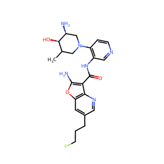 CC1CN(c2ccncc2NC(=O)c2c(N)oc3cc(CCCF)cnc23)C[C@H](N)[C@@H]1O